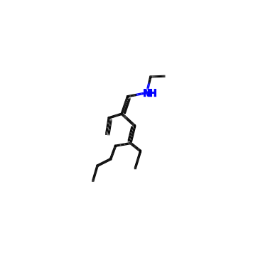 C=CC(=C/NCC)/C=C(/CC)CCCC